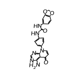 Nc1ncnc2c1c(=O)ccn2-c1ccc(NC(=O)Nc2ccc3c(c2)OCO3)cc1